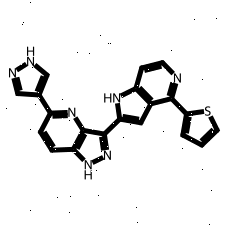 c1csc(-c2nccc3[nH]c(-c4n[nH]c5ccc(-c6cn[nH]c6)nc45)cc23)c1